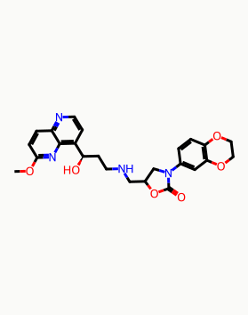 COc1ccc2nccc([C@H](O)CCNCC3CN(c4ccc5c(c4)OCCO5)C(=O)O3)c2n1